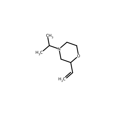 C=CC1CN(C(C)C)CCO1